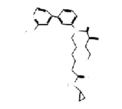 C=C(CCF)C(=O)N(CCCCCC(=O)NC1CC1)c1cccc(-c2ccnc(OC)c2)c1